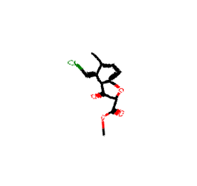 COC(=O)C1OC2=CC=C(C)C(=CCl)C2C1=O